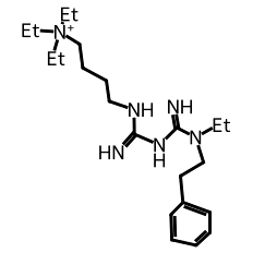 CCN(CCc1ccccc1)C(=N)NC(=N)NCCCC[N+](CC)(CC)CC